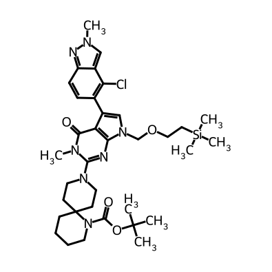 Cn1cc2c(Cl)c(-c3cn(COCC[Si](C)(C)C)c4nc(N5CCC6(CCCCN6C(=O)OC(C)(C)C)CC5)n(C)c(=O)c34)ccc2n1